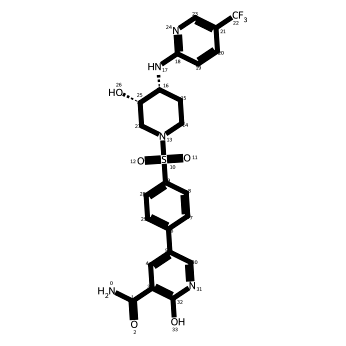 NC(=O)c1cc(-c2ccc(S(=O)(=O)N3CC[C@@H](Nc4ccc(C(F)(F)F)cn4)[C@@H](O)C3)cc2)cnc1O